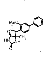 COc1cc(-c2ccccc2)ccc1C(O)C1(C)NC(=O)NC1=O